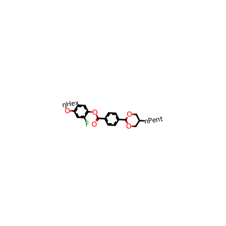 CCCCCCOc1ccc(OC(=O)c2ccc(C3OCC(CCCCC)CO3)cc2)c(F)c1